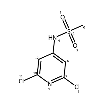 CS(=O)(=O)Nc1cc(Cl)nc(Cl)c1